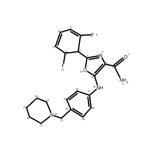 NC(=O)c1nc(C2C(F)=CC=CC2F)oc1Nc1ccc(CN2CCCCC2)cc1